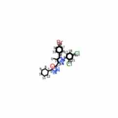 Cc1c(-c2nnc(C3CCCCC3)o2)nn(-c2ccc(Cl)cc2Cl)c1-c1ccc(Br)cc1